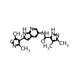 Cc1n[nH]c(C(=O)Nc2cnc3[nH]c(-c4c(C)noc4C)cc3c2)c1C